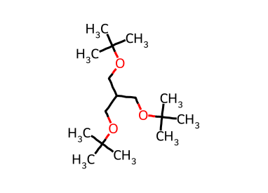 CC(C)(C)OCC(COC(C)(C)C)COC(C)(C)C